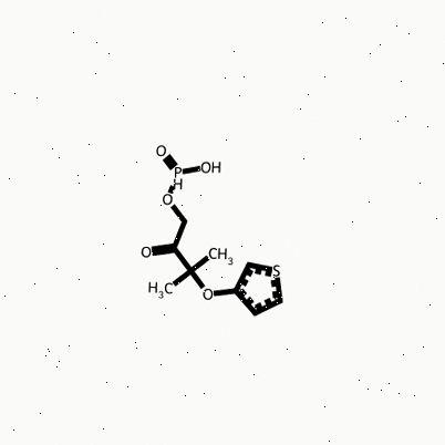 CC(C)(Oc1ccsc1)C(=O)CO[PH](=O)O